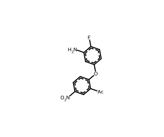 CC(=O)c1cc([N+](=O)[O-])ccc1Oc1ccc(F)c(N)c1